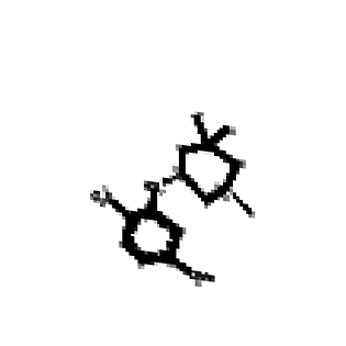 COc1ccc([N+](=O)[O-])c(N[C@H]2C[C@@H](C)CC(C)(C)C2)c1